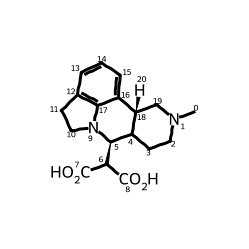 CN1CCC2[C@@H](C(C(=O)O)C(=O)O)N3CCc4cccc(c43)[C@@H]2C1